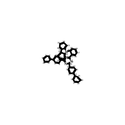 c1ccc(-c2ccc(-c3nc(-c4ccc(-c5ccccc5)cc4)nc(-c4ccccc4-n4c5ccccc5c5ccccc54)n3)cc2)cc1